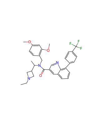 CCN1CC(C(C)N(Cc2ccc(OC)cc2OC)C(=O)c2cnc3c(-c4ccc(C(F)(F)F)cc4)cccc3c2)C1